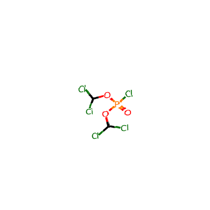 O=P(Cl)(OC(Cl)Cl)OC(Cl)Cl